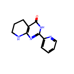 O=c1[nH]c(-c2ccccn2)nc2c1CCCN2